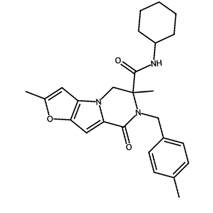 Cc1ccc(CN2C(=O)c3cc4oc(C)cc4n3CC2(C)C(=O)NC2CCCCC2)cc1